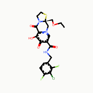 CCOC[C@@]12Cn3cc(C(=O)NCc4ccc(F)c(Cl)c4F)c(=O)c(O)c3C(=O)N1CCS2